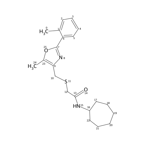 Cc1ccccc1-c1nc(CSCC(=O)NC2CCCCCC2)c(C)o1